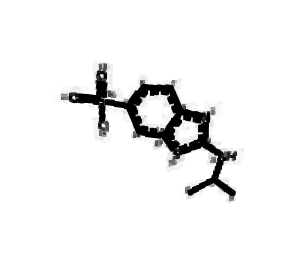 CC(C)Nc1nc2ccc(S(=O)(=O)Cl)cc2s1